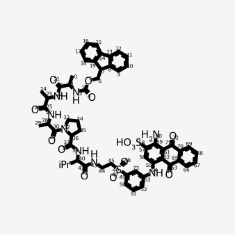 CC(NC(=O)OCC1c2ccccc2-c2ccccc21)C(=O)NC(C)C(=O)NC(C)C(=O)N1CCCC1C(=O)NC(C(=O)NCCS(=O)(=O)c1cccc(Nc2cc(S(=O)(=O)O)c(N)c3c2C(=O)c2ccccc2C3=O)c1)C(C)C